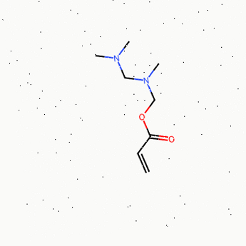 C=CC(=O)OCN(C)CN(C)C